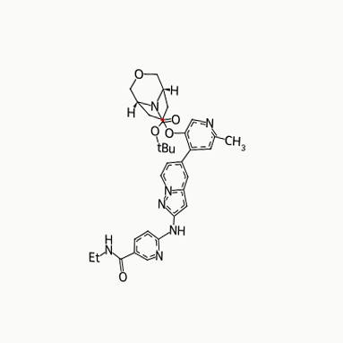 CCNC(=O)c1ccc(Nc2cc3cc(-c4cc(C)ncc4OC4C[C@H]5COC[C@@H](C4)N5C(=O)OC(C)(C)C)ccn3n2)nc1